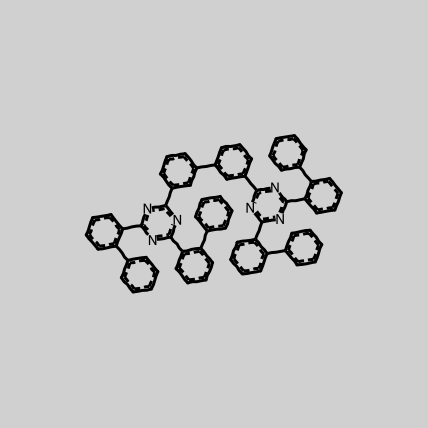 c1ccc(-c2ccccc2-c2nc(-c3cccc(-c4cccc(-c5nc(-c6ccccc6-c6ccccc6)nc(-c6ccccc6-c6ccccc6)n5)c4)c3)nc(-c3ccccc3-c3ccccc3)n2)cc1